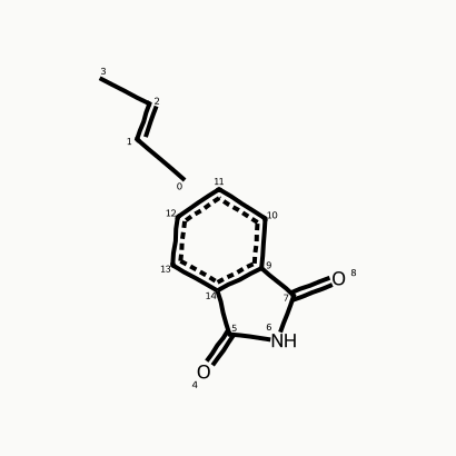 CC=CC.O=C1NC(=O)c2ccccc21